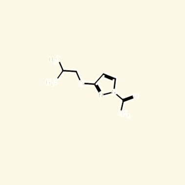 CC(=O)n1ccc(OCC(C)C)n1